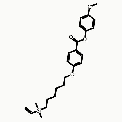 C=C[Si](C)(C)CCCCCCOc1ccc(C(=O)Oc2ccc(OC)cc2)cc1